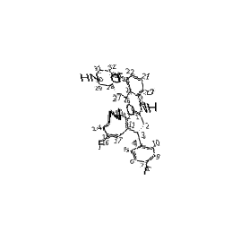 O=C(C[C@H](c1ccc(F)cc1)c1cncc(F)c1)Nc1cccc(F)c1CC[C@@H]1CN[CH]CO1